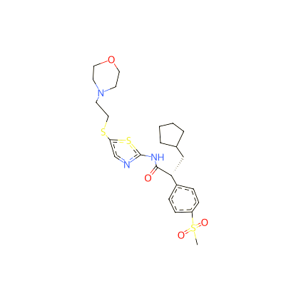 CS(=O)(=O)c1ccc([C@@H](CC2CCCC2)C(=O)Nc2ncc(SCCN3CCOCC3)s2)cc1